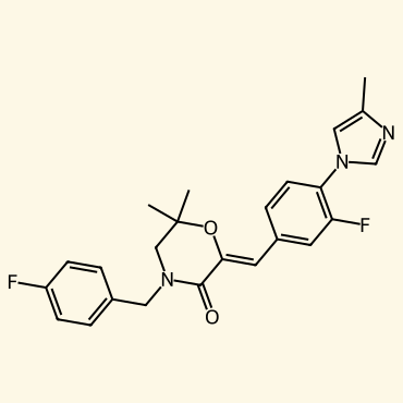 Cc1cn(-c2ccc(C=C3OC(C)(C)CN(Cc4ccc(F)cc4)C3=O)cc2F)cn1